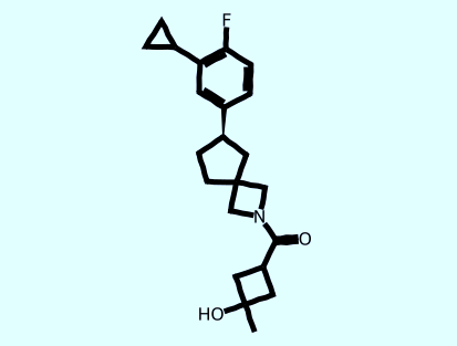 CC1(O)CC(C(=O)N2CC3(CC[C@@H](c4ccc(F)c(C5CC5)c4)C3)C2)C1